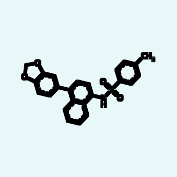 Cc1ccc(S(=O)(=O)Nc2ccc(-c3ccc4c(c3)OCO4)c3ccccc23)cc1